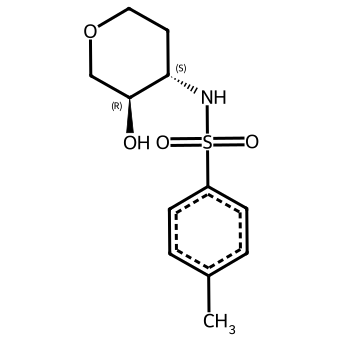 Cc1ccc(S(=O)(=O)N[C@H]2CCOC[C@@H]2O)cc1